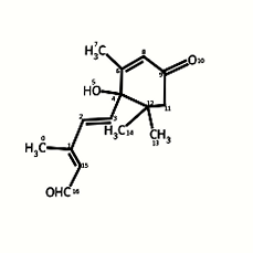 CC(C=CC1(O)C(C)=CC(=O)CC1(C)C)=CC=O